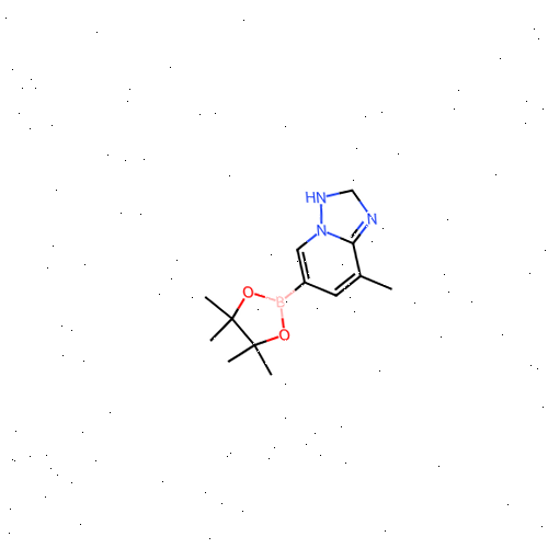 CC1=CC(B2OC(C)(C)C(C)(C)O2)=CN2NCN=C12